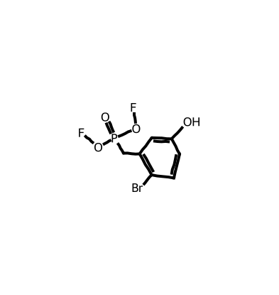 O=P(Cc1cc(O)ccc1Br)(OF)OF